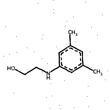 Cc1cc(C)cc(NCCO)c1